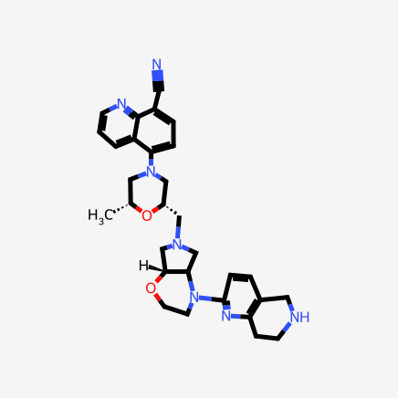 C[C@@H]1CN(c2ccc(C#N)c3ncccc23)C[C@H](CN2CC3[C@@H](C2)OCCN3c2ccc3c(n2)CCNC3)O1